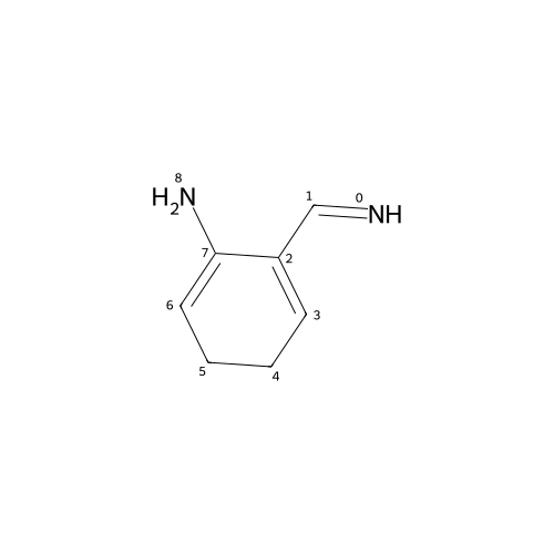 N=CC1=CCCC=C1N